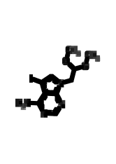 COC(Cn1cc(I)c2c(N)ncnc21)OC